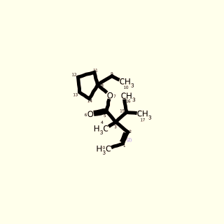 C/C=C\C(C)(C(=O)OC1(CC)CCCC1)C(C)C